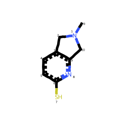 CN1Cc2ccc(S)nc2C1